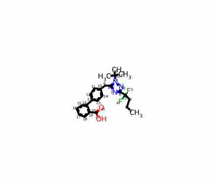 CCCC(F)(F)c1nc(Cc2ccc(-c3ccccc3C(=O)O)cc2)n(C(C)(C)C)n1